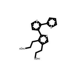 CCCCCCCCCCCCc1csc(-c2ccsc2-c2cccs2)c1CCCCCCCCCCCC